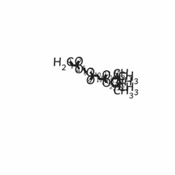 C=CC(=O)OCCOC(=O)CCC(=O)OC1CC(C)(C)NC(C)(C)C1